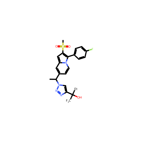 CCC(O)(c1cn(C(C)c2ccn3c(-c4ccc(F)cc4)c(S(C)(=O)=O)cc3c2)nn1)C(F)(F)F